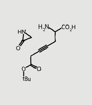 CC(C)(C)OC(=O)CC#CCC(N)C(=O)O.O=C1CN1